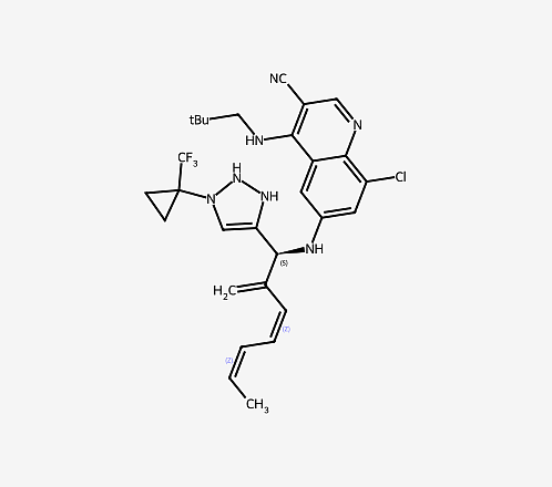 C=C(/C=C\C=C/C)[C@H](Nc1cc(Cl)c2ncc(C#N)c(NCC(C)(C)C)c2c1)C1=CN(C2(C(F)(F)F)CC2)NN1